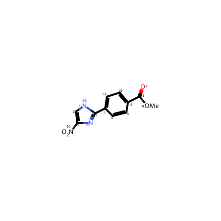 COC(=O)c1ccc(-c2nc([N+](=O)[O-])c[nH]2)cc1